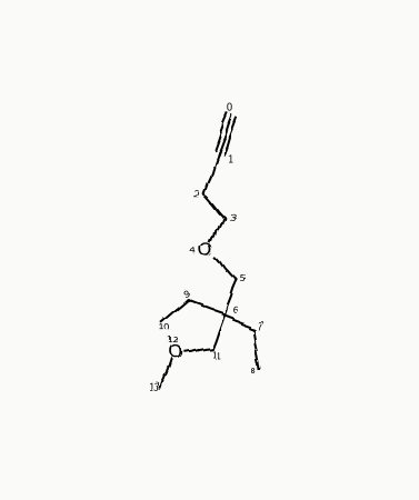 C#CCCOCC(CC)(CC)COC